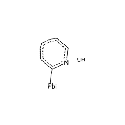 [LiH].[Pb][c]1ccccn1